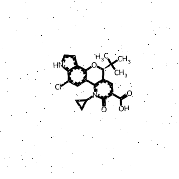 CC(C)(C)[C@@H]1Oc2c(cc(Cl)c3[nH]ccc23)-c2c1cc(C(=O)O)c(=O)n2C1CC1